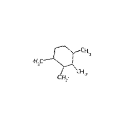 [CH2]C1CCC(C)C(C)C1[CH2]